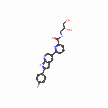 O=C(NC[C@@H](O)CO)c1cccc(-c2cnc3[nH]c(-c4ccc(F)cc4)cc3c2)n1